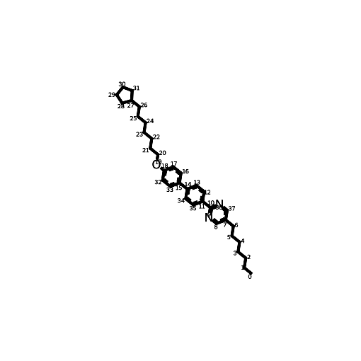 CCCCCCCc1cnc(-c2ccc(-c3ccc(OCCCCCCCC4CCCC4)cc3)cc2)nc1